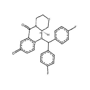 O=C1c2cc(=O)ccn2N(C(c2ccc(F)cc2)c2ccc(F)cc2)[C@@H]2COCCN12